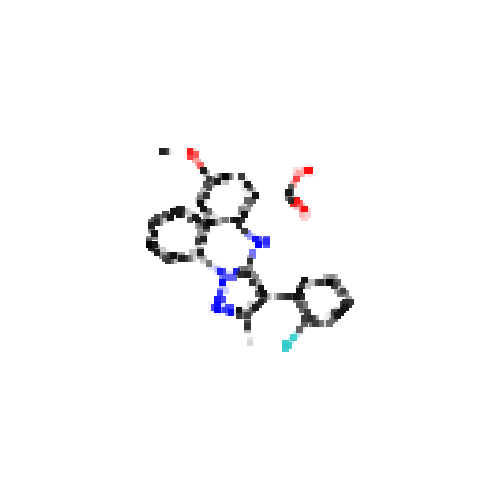 COc1ccc(Nc2c(-c3ccccc3F)c(C)nn2-c2ccccc2C)c(C(=O)O)c1